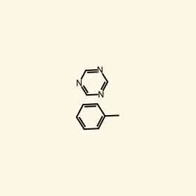 Cc1ccccc1.c1ncncn1